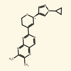 Cc1nc2cnc(C3=C[C@H](c4cnn(C5CC5)c4)OCC3)nc2nc1C